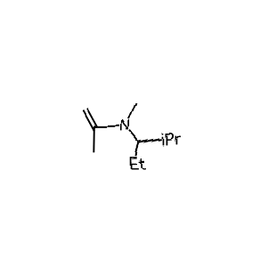 C=C(C)N(C)C(CC)C(C)C